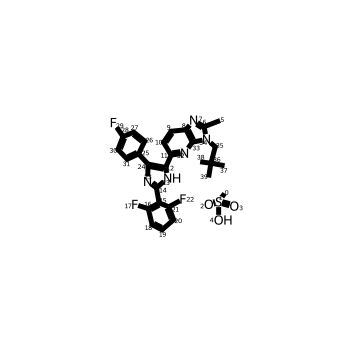 CS(=O)(=O)O.Cc1nc2ccc(-c3[nH]c(-c4c(F)cccc4F)nc3-c3ccc(F)cc3)nc2n1CC(C)(C)C